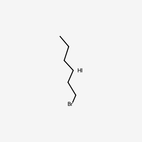 CCCCCCBr.I